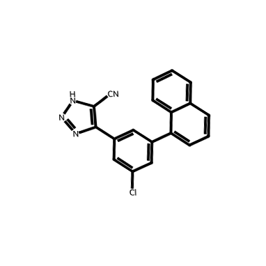 N#Cc1[nH]nnc1-c1cc(Cl)cc(-c2cccc3ccccc23)c1